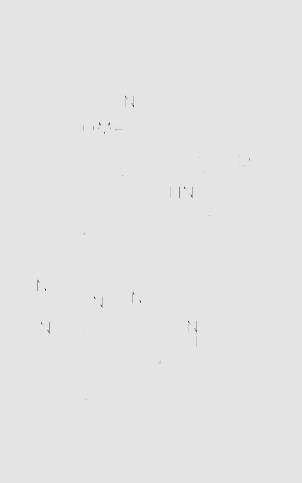 COc1ccc(-c2nnc3c4ccccc4c(Nc4cccc(NC(=O)c5cccnc5)c4)nn23)cc1